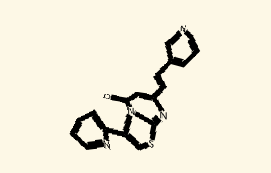 O=c1cc(/C=C/c2cccnc2)nc2scc(-c3ccccn3)n12